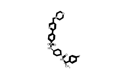 C[C@@H](NC(=O)[C@H]1CC[C@H](NS(=O)(=O)c2ccc(-c3ccc(CN4CCOCC4)cn3)cc2)CC1)c1ccc(F)cc1